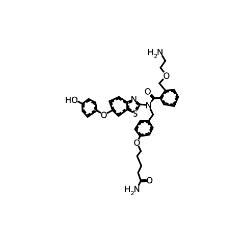 NCCOCc1ccccc1C(=O)N(Cc1ccc(OCCCCC(N)=O)cc1)c1nc2ccc(Oc3ccc(O)cc3)cc2s1